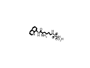 NC(CCCCNS(=O)(=O)NC(=O)O)C(=O)Nc1cccc2cccnc12